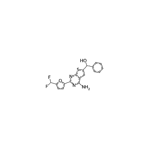 Nc1nc(-c2ccc(C(F)F)o2)nc2sc(C(O)c3ccccc3)cc12